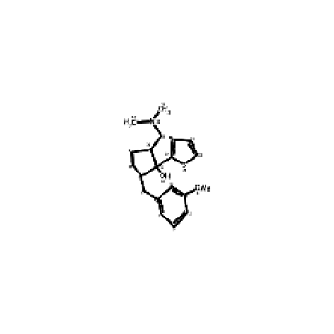 COc1cccc(CC2CCC(CN(C)C)C2(O)c2cccs2)c1